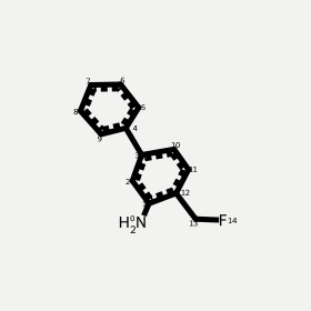 Nc1cc(-c2ccccc2)ccc1CF